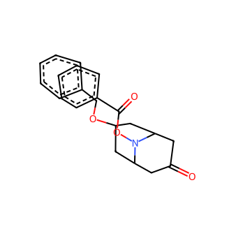 O=C1CC2CC(OCc3ccccc3)CC(C1)N2OC(=O)c1ccccc1